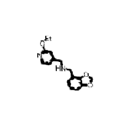 CCOc1cc(CNCc2cccc3c2OCO3)ccn1